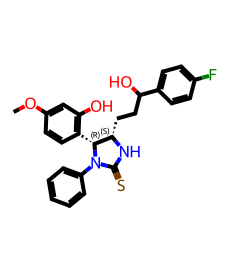 COc1ccc([C@@H]2[C@H](CCC(O)c3ccc(F)cc3)NC(=S)N2c2ccccc2)c(O)c1